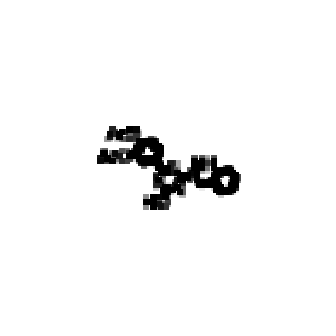 CC(=O)Oc1ccc(-c2nc(O)nc(N(N)Cc3ccccc3)n2)cc1OC(C)=O